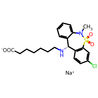 CN1c2ccccc2[C@@H](NCCCCCCC(=O)[O-])c2ccc(Cl)cc2S1(=O)=O.[Na+]